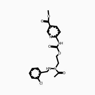 COC(=O)c1ccc(NC(=O)OCCN(NCc2ccccc2Cl)C(C)=O)nc1